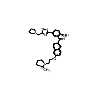 C[C@H]1CCCCN1CCOc1ccc2cc(-c3n[nH]c4ccc(C5=NC(CN6CCCC6)N=N5)cc34)ccc2c1